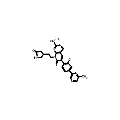 CNc1ncc2cc(-c3ccc(-c4cncc(C)n4)cc3Cl)c(=O)n(CCC3CNC(=O)C3)c2n1